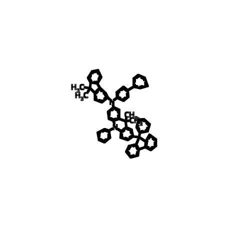 CC1(C)c2ccccc2-c2cc(N(c3ccc(-c4ccccc4)cc3)c3ccc4c(c3)C(C)(C)c3cc(C5(c6ccccc6)c6ccccc6-c6ccccc65)ccc3N4c3ccccc3)ccc21